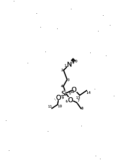 C#[N+]CCC[Si](OCC)(OCC)OCC